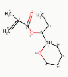 C=C(C)C(=O)OC(CC)[SiH]1CCCCO1